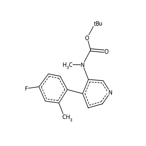 Cc1cc(F)ccc1-c1ccncc1N(C)C(=O)OC(C)(C)C